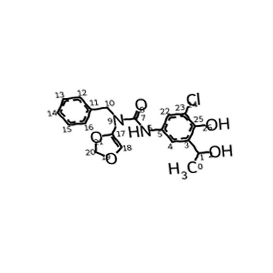 CC(O)c1cc(NC(=O)N(Cc2ccccc2)C2=COCO2)cc(Cl)c1O